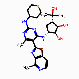 Cc1nc(NC2CCSCC2)nc(N[C@@H]2C[C@H](C(C)(C)O)[C@@H](O)[C@H]2O)c1-c1nc2c(C)nccc2s1